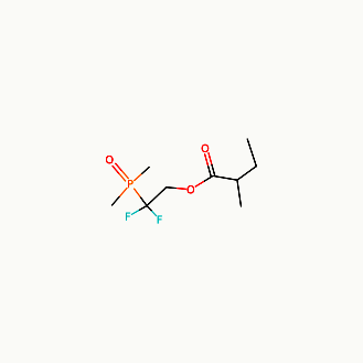 CCC(C)C(=O)OCC(F)(F)P(C)(C)=O